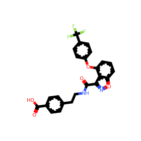 O=C(O)c1ccc(CCNC(=O)c2noc3cccc(Oc4ccc(C(F)(F)F)cc4)c23)cc1